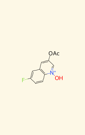 CC(=O)Oc1cc2cc(F)ccc2[n+](O)c1